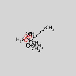 CCCCCCCCCC(C1=[C]([Pt]([CH3])([CH3])[CH3])CC=C1)[Si](OC)(OC)OC